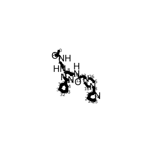 CC(=O)NCCNc1cc(NC(=O)CN2CCN(Cc3ccccn3)CC2)nc(-c2ccccc2)n1